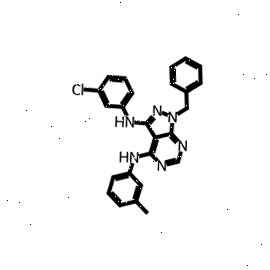 Cc1cccc(Nc2ncnc3c2c(Nc2cccc(Cl)c2)nn3Cc2ccccc2)c1